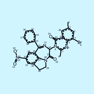 Cc1cc(Br)c2nc(C)n(C3N=C(c4ccccc4)c4cc([N+](=O)[O-])cc5c4N(CC5)C3=O)c(=O)c2c1